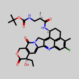 CC[C@@]1(O)C(=O)OCc2c1cc1n(c2=O)Cc2c-1nc1cc(F)c(C)c3c1c2[C@@H](NC(=O)[C@@H](C)CNC(=O)OC(C)(C)C)CC3